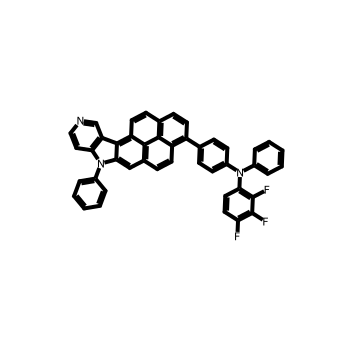 Fc1ccc(N(c2ccccc2)c2ccc(-c3ccc4ccc5c6c(ccc3c46)cc3c5c4cnccc4n3-c3ccccc3)cc2)c(F)c1F